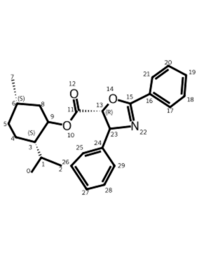 CC(C)[C@@H]1CC[C@H](C)CC1OC(=O)[C@@H]1OC(c2ccccc2)=NC1c1ccccc1